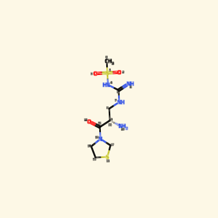 CS(=O)(=O)NC(=N)NC[C@H](N)C(=O)N1CCSC1